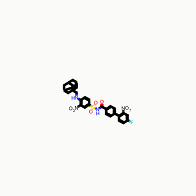 O=C(NS(=O)(=O)c1ccc(NCC23CC4CC(CC(C4)C2)C3)c([N+](=O)[O-])c1)c1ccc(-c2ccc(F)cc2[N+](=O)[O-])cc1